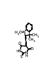 CN1/C(=C/C=C2C(=O)NC(=S)NC2=O)C(C)(C)c2ccccc21